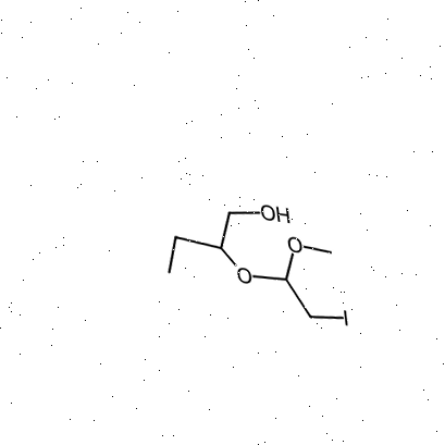 CCC(CO)OC(CI)OC